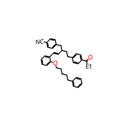 CCC(=O)c1ccc(CCC(/C=C/c2ccccc2OCCCCCc2ccccc2)Cc2ccc(C#N)cc2)cc1